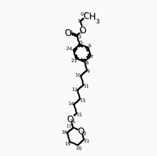 CCOC(=O)c1ccc(CCCCCCCOC2CCCCO2)cc1